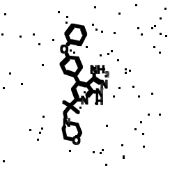 CC(C)(CN1CCOCC1)c1cc(-c2ccc(Oc3ccccc3)cc2)c2c(N)n[nH]c2n1